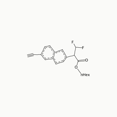 C#Cc1ccc2cc(C(C(=O)OCCCCCC)C(F)F)ccc2c1